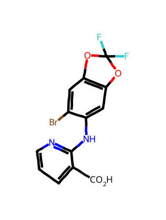 O=C(O)c1cccnc1Nc1cc2c(cc1Br)OC(F)(F)O2